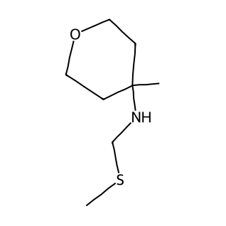 CSCNC1(C)CCOCC1